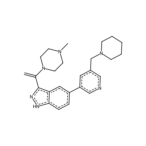 C=C(c1n[nH]c2ccc(-c3cncc(CN4CCCCC4)c3)cc12)N1CCN(C)CC1